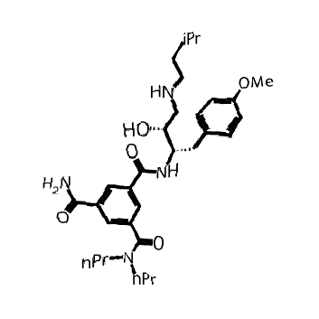 CCCN(CCC)C(=O)c1cc(C(N)=O)cc(C(=O)N[C@@H](Cc2ccc(OC)cc2)[C@H](O)CNCCC(C)C)c1